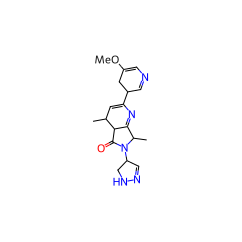 COC1=CN=CC(C2=CC(C)C3C(=O)N(C4C=NNC4)C(C)C3=N2)C1